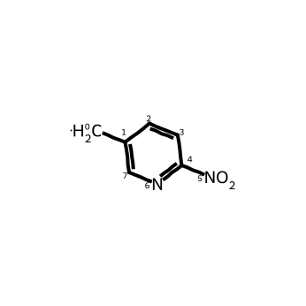 [CH2]c1ccc([N+](=O)[O-])nc1